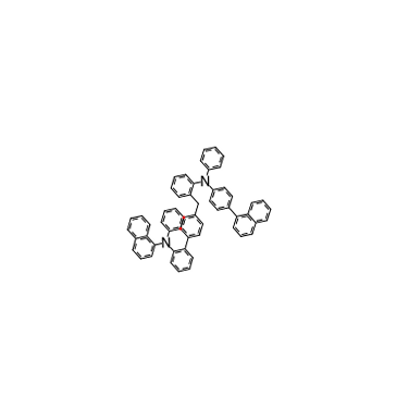 c1ccc(N(c2ccc(-c3cccc4ccccc34)cc2)c2ccccc2Cc2ccc(-c3ccccc3N(c3ccccc3)c3cccc4ccccc34)cc2)cc1